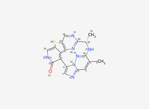 Cc1cc2ncc(-c3ccc[nH]c3=O)n2nc1N[C@@H](C)c1ncc(F)cn1